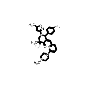 Cc1cc(N2CC(C)(C)C(=O)C(=Cc3cccc(N4CCN(C)CC4)n3)C2c2ccc(C(F)(F)F)cc2)no1